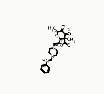 C=C1C(=O)[C@](C)(C(=O)OC)[C@@H](CCN2CCN(CNc3ccccc3)CC2)O[C@H]1C